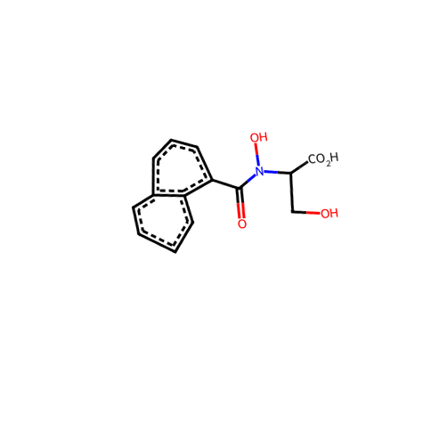 O=C(O)C(CO)N(O)C(=O)c1cccc2ccccc12